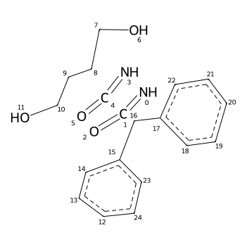 N=C=O.N=C=O.OCCCCO.c1ccc(Cc2ccccc2)cc1